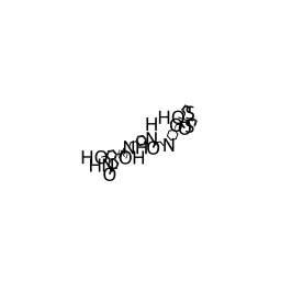 CN(CCC(=O)Nc1ccc(CNC[C@H](O)c2ccc(O)c3[nH]c(=O)ccc23)cc1)[C@H]1CC[C@H](OC(=O)C(O)(c2cccs2)c2cccs2)CC1